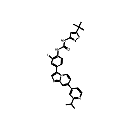 CC(C)c1cc(-c2ccn3c(-c4ccc(NC(=O)Nc5cc(C(C)(C)C)on5)c(F)c4)cnc3c2)ccn1